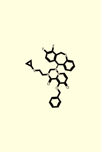 O=C1c2c(OCc3ccccc3)c(=O)ccn2N([C@@H]2c3ccccc3SCc3c2ccc(F)c3F)CN1CCSC1CC1